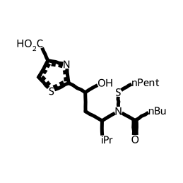 CCCCCSN(C(=O)CCCC)C(CC(O)c1nc(C(=O)O)cs1)C(C)C